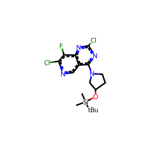 CC(C)(C)[Si](C)(C)OC1CCN(c2nc(Cl)nc3c(F)c(Cl)ncc23)C1